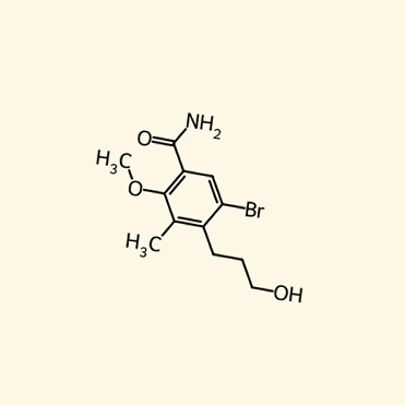 COc1c(C(N)=O)cc(Br)c(CCCO)c1C